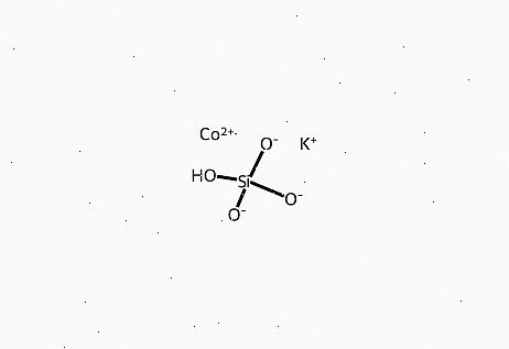 [Co+2].[K+].[O-][Si]([O-])([O-])O